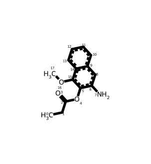 CCC(=O)Oc1c(N)cc2ccccc2c1OC